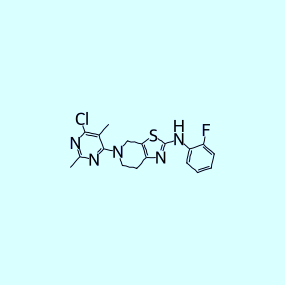 Cc1nc(Cl)c(C)c(N2CCc3nc(Nc4ccccc4F)sc3C2)n1